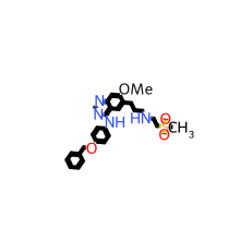 COc1cc2ncnc(Nc3ccc(OCc4ccccc4)cc3)c2cc1CCCNCCS(C)(=O)=O